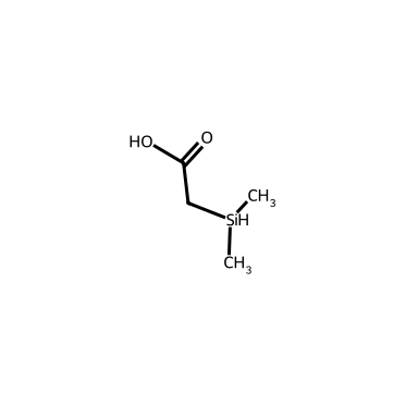 C[SiH](C)CC(=O)O